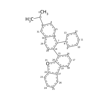 CC(C)c1ccc2c(-c3ccccc3)c(-c3cccc4c3oc3ccccc34)ccc2c1